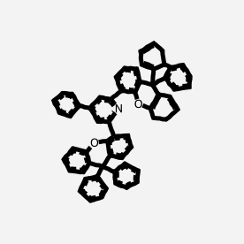 CC1CC=CC=C1C1(c2ccccc2)C2=C(CCC=C2)Oc2c(-c3cc(-c4ccccc4)cc(-c4cccc5c4Oc4ccccc4C5(c4ccccc4)c4ccccc4)n3)cccc21